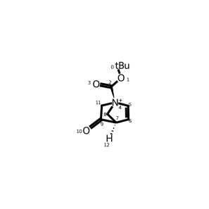 CC(C)(C)OC(=O)[N@@+]12C=C[C@H](C1)C(=O)C2